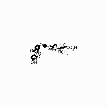 C=N/C(=C\C=C(/C)C(=O)O)N1CCC(CN(C(C)C)[C@H]2C[C@H](Oc3ccc4c(c3)C(=O)N(C3CCC(=O)NC3=O)C4=O)C2)CC1